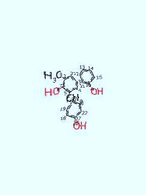 Cc1cccc(C)c1O.Oc1ccccc1.Oc1ccccc1